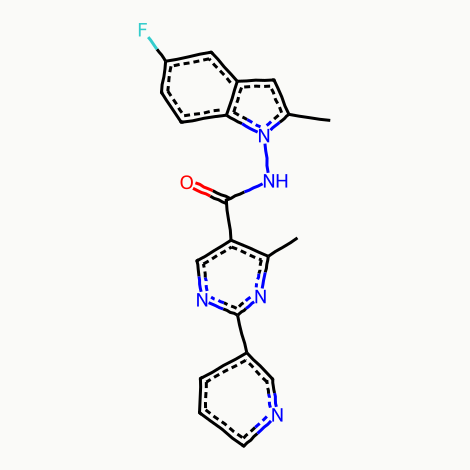 Cc1nc(-c2cccnc2)ncc1C(=O)Nn1c(C)cc2cc(F)ccc21